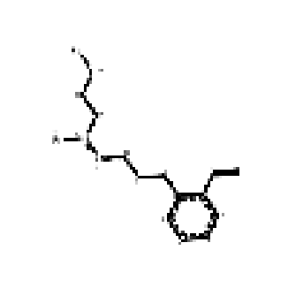 C=Cc1ccccc1CCCO[SiH](CCC)CCOCC